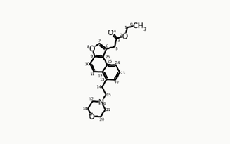 CCOC(=O)Cc1coc2ccc3c(CCN4CCOCC4)cccc3c12